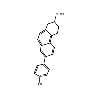 CCCCCCCC1CCc2c(ccc3cc(-c4ccc(C#N)cc4)ccc23)C1